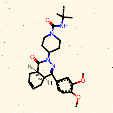 COc1ccc(C2=NN(C3CCN(C(=O)NC(C)(C)C)CC3)C(=O)[C@@H]3CC=CC[C@H]23)cc1OC